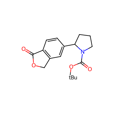 CC(C)(C)OC(=O)N1CCCC1c1ccc2c(c1)COC2=O